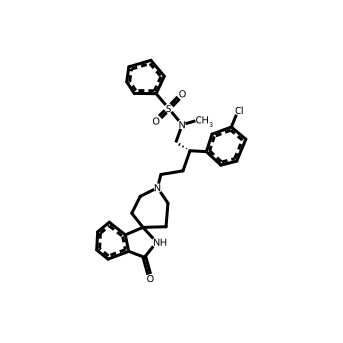 CN(C[C@@H](CCN1CCC2(CC1)NC(=O)c1ccccc12)c1cccc(Cl)c1)S(=O)(=O)c1ccccc1